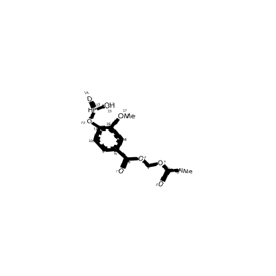 CNC(=O)OCOC(=O)c1ccc(O[PH](=O)O)c(OC)c1